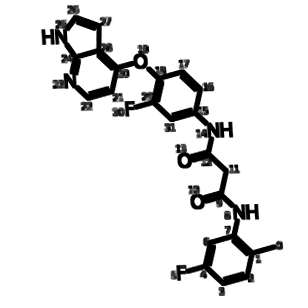 Cc1ccc(F)cc1NC(=O)CC(=O)Nc1ccc(Oc2ccnc3[nH]ccc23)c(F)c1